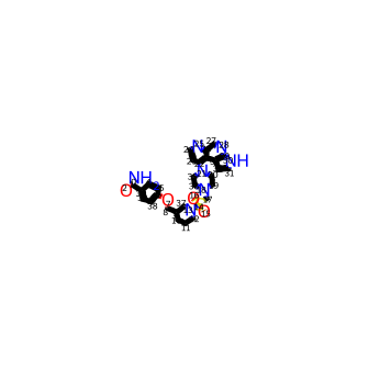 NC(=O)c1ccc(OCC2CCCN(S(=O)(=O)CN3CCN(c4ccnc5cnc6[nH]ccc6c45)CC3)C2)cc1